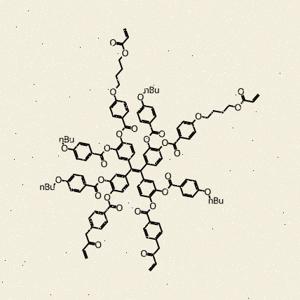 C=CC(=O)Cc1ccc(C(=O)Oc2ccc(/C(=C(\c3ccc(OC(=O)c4ccc(CC(=O)C=C)cc4)c(OC(=O)c4ccc(OCCCC)cc4)c3)c3ccc(OC(=O)c4ccc(OCCCCOC(=O)C=C)cc4)c(OC(=O)c4ccc(OCCCC)cc4)c3)c3ccc(OC(=O)c4ccc(OCCCCOC(=O)C=C)cc4)c(OC(=O)c4ccc(OCCCC)cc4)c3)cc2OC(=O)c2ccc(OCCCC)cc2)cc1